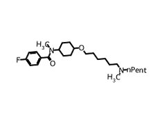 CCCCCN(C)CCCCCCOC1CCC(N(C)C(=O)c2ccc(F)cc2)CC1